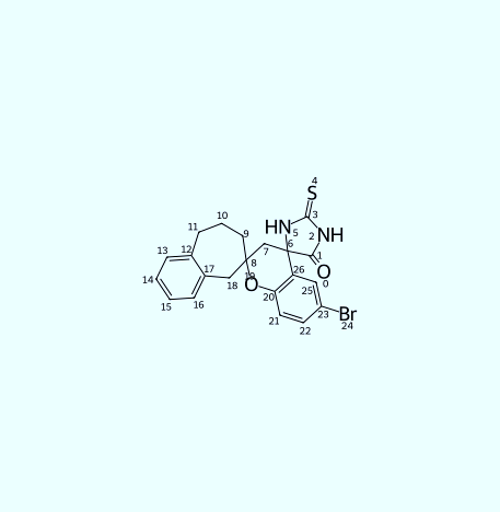 O=C1NC(=S)NC12CC1(CCCc3ccccc3C1)Oc1ccc(Br)cc12